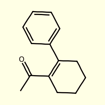 CC(=O)C1=C(c2ccccc2)CCCC1